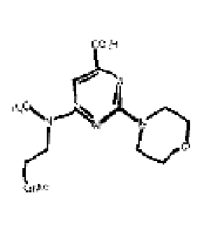 COCCN(C)c1cc(C(=O)O)nc(N2CCOCC2)n1